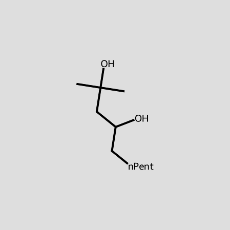 CCCCCCC(O)CC(C)(C)O